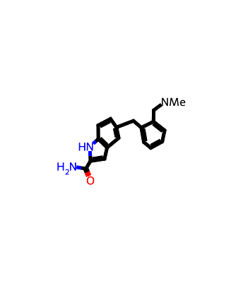 CNCc1ccccc1Cc1ccc2[nH]c(C(N)=O)cc2c1